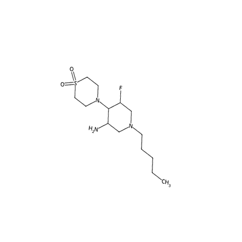 CCCCCN1CC(N)C(N2CCS(=O)(=O)CC2)C(F)C1